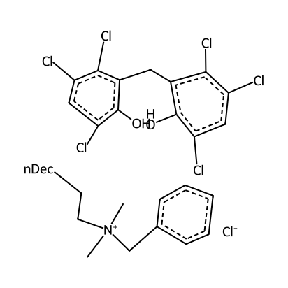 CCCCCCCCCCCC[N+](C)(C)Cc1ccccc1.Oc1c(Cl)cc(Cl)c(Cl)c1Cc1c(O)c(Cl)cc(Cl)c1Cl.[Cl-]